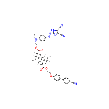 CCN(CCOC(=O)C(C)(CC(C)(CC)C(C)(CC)C(C)(CC(C)(C)CC)C(=O)OCCOc1ccc(-c2ccc(C#N)cc2)cc1)C(C)(C)CC)c1ccc(/N=N/c2nc(C#N)c(C#N)[nH]2)cc1